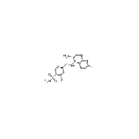 Cc1ccc2c(NCc3ccc(S(N)(=O)=O)c(F)c3)c(N)cnc2n1